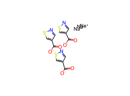 O=C([O-])c1cnsc1.O=C([O-])c1cnsc1.O=C([O-])c1cnsc1.[Na+].[Na+].[Na+]